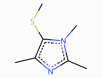 CSc1c(C)nc(C)n1C